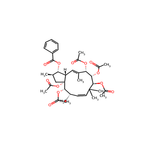 CC(=O)O[C@@H]1[C@@H](OC(C)=O)C(C)(C)/C=C\[C@H](C)[C@H](OC(C)=O)[C@@]2(OC(C)=O)C[C@@H](C)[C@H](OC(=O)c3ccccc3)[C@@H]2/C=C(\C)[C@@H]1OC(C)=O